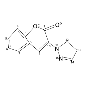 O=c1oc2ccccc2cc1N1CCC=N1